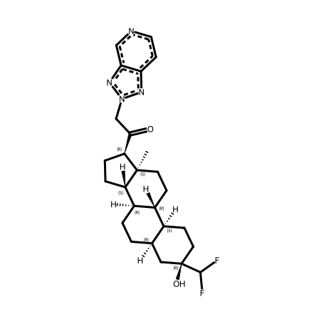 C[C@]12CC[C@H]3[C@@H](CC[C@@H]4C[C@@](O)(C(F)F)CC[C@@H]43)[C@@H]1CC[C@H]2C(=O)Cn1nc2ccncc2n1